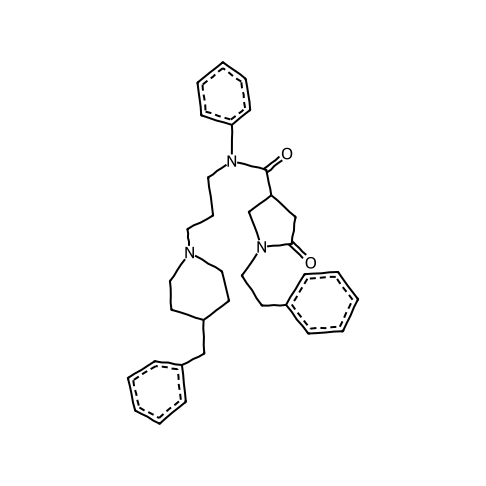 O=C1CC(C(=O)N(CCCN2CCC(Cc3ccccc3)CC2)c2ccccc2)CN1CCc1ccccc1